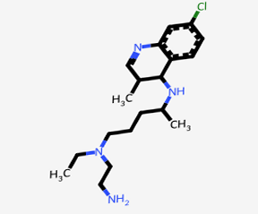 CCN(CCN)CCCC(C)NC1c2ccc(Cl)cc2N=CC1C